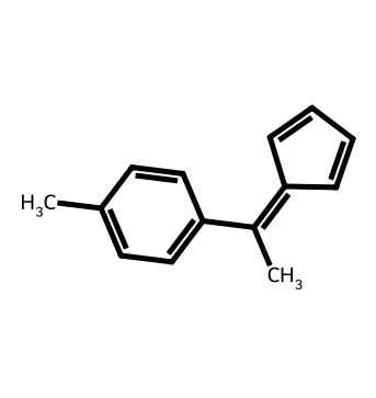 CC(=C1C=CC=C1)c1ccc(C)cc1